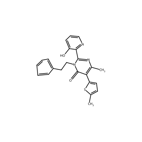 Cc1ccc(-c2c(C)nc(-c3ncccc3O)n(CCc3ccccc3)c2=O)s1